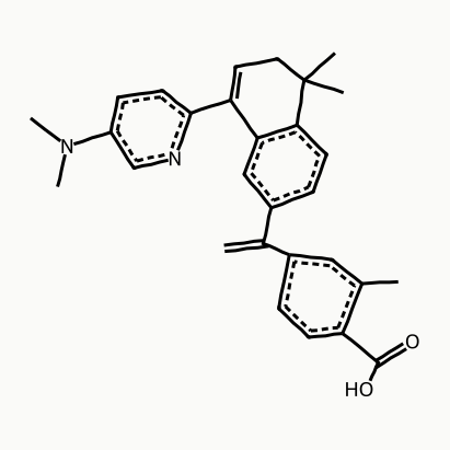 C=C(c1ccc(C(=O)O)c(C)c1)c1ccc2c(c1)C(c1ccc(N(C)C)cn1)=CCC2(C)C